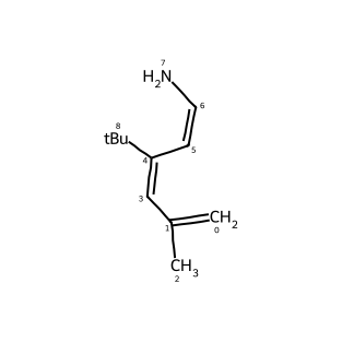 C=C(C)/C=C(\C=C/N)C(C)(C)C